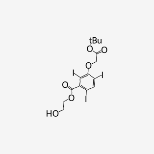 CC(C)(C)OC(=O)COc1c(I)cc(I)c(C(=O)OCCO)c1I